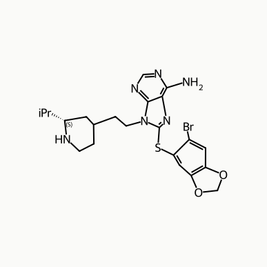 CC(C)[C@@H]1CC(CCn2c(Sc3cc4c(cc3Br)OCO4)nc3c(N)ncnc32)CCN1